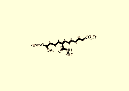 CCCCCC(CCCC(CCCCCCC(=O)OCC)C(=O)NCCC)OC(C)=O